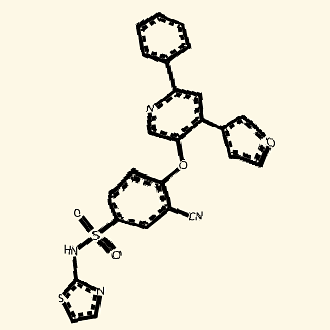 N#Cc1cc(S(=O)(=O)Nc2nccs2)ccc1Oc1cnc(-c2ccccc2)cc1-c1ccoc1